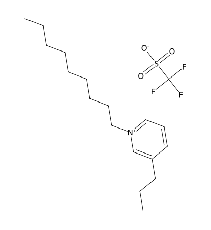 CCCCCCCCC[n+]1cccc(CCC)c1.O=S(=O)([O-])C(F)(F)F